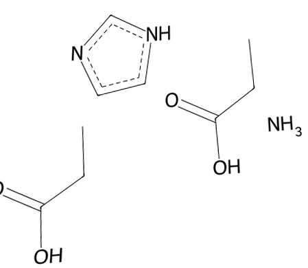 CCC(=O)O.CCC(=O)O.N.c1c[nH]cn1